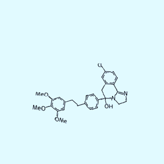 COc1cc(CCc2ccc(C3(O)Cc4cc(Cl)ccc4C4=NCCN43)cc2)cc(OC)c1OC